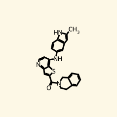 Cc1cc2cc(Nc3ccnc4cc(C(=O)N5CCc6ccccc6C5)sc34)ccc2[nH]1